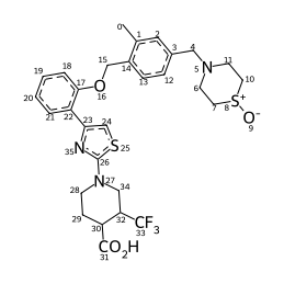 Cc1cc(CN2CC[S+]([O-])CC2)ccc1COc1ccccc1-c1csc(N2CCC(C(=O)O)C(C(F)(F)F)C2)n1